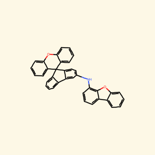 c1ccc2c(c1)Oc1ccccc1C21c2ccccc2-c2cc(Nc3cccc4c3oc3ccccc34)ccc21